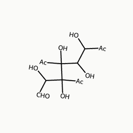 CC(=O)C(O)C(O)C(O)(C(C)=O)C(O)(C(C)=O)C(O)C=O